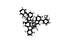 CC(C)C1=Cc2c(-c3ccccc3C(F)(F)F)cccc2[CH]1[Zr]([Cl])([Cl])([c]1cccc2c1[SiH2]c1ccccc1-2)[CH]1C(C(C)C)=Cc2c(-c3ccccc3C(F)(F)F)cccc21